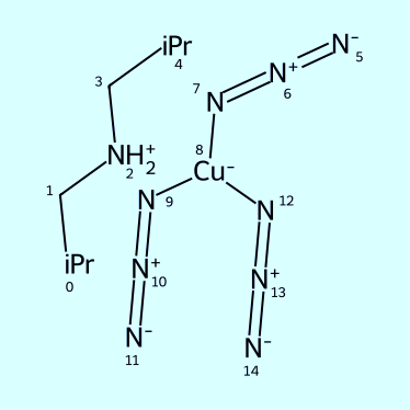 CC(C)C[NH2+]CC(C)C.[N-]=[N+]=[N][Cu-]([N]=[N+]=[N-])[N]=[N+]=[N-]